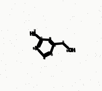 OCc1ccnc(S)c1